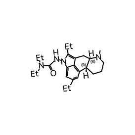 CCc1cc2c3c(c(CC)n(NC(=O)N(CC)CC)c3c1)C[C@@H]1[C@@H]2CCCN1C